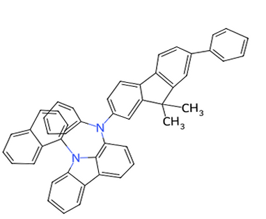 CC1(C)c2cc(-c3ccccc3)ccc2-c2ccc(N(c3ccccc3)c3cccc4c5ccccc5n(-c5cccc6ccccc56)c34)cc21